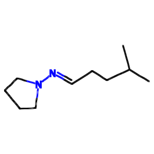 CC(C)CC/C=N/N1CCCC1